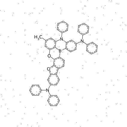 Cc1cc2c3c(c1)N(c1ccccc1)c1cc(N(c4ccccc4)c4ccccc4)ccc1B3c1ccc3c(oc4cc(N(c5ccccc5)c5ccccc5)ccc43)c1O2